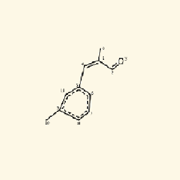 CC(C=O)=Cc1cccc(C)c1